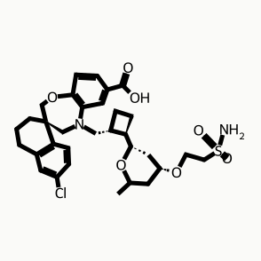 CC1C[C@@H](OCCS(N)(=O)=O)C[C@@H]([C@@H]2CC[C@H]2CN2C[C@@]3(CCCc4cc(Cl)ccc43)COc3ccc(C(=O)O)cc32)O1